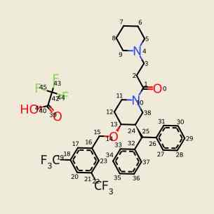 O=C(CCN1CCCCC1)N1CC[C@H](OCc2cc(C(F)(F)F)cc(C(F)(F)F)c2)[C@H](C(c2ccccc2)c2ccccc2)C1.O=C(O)C(F)(F)F